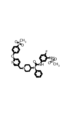 CS(=O)(=O)Nc1cc(NC(=O)N(c2ccccc2)C2CCN(Cc3ccc(Oc4ccc(S(C)(=O)=O)cc4)nc3)CC2)ccc1F